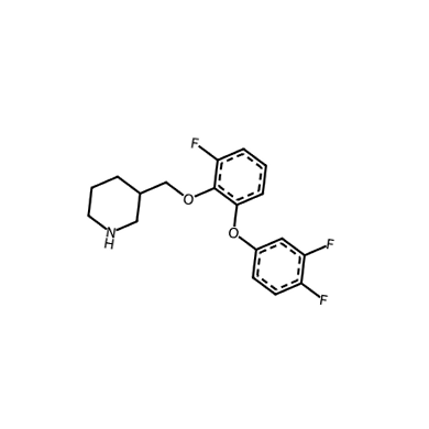 Fc1ccc(Oc2cccc(F)c2OCC2CCCNC2)cc1F